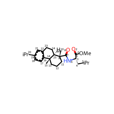 COC(=O)[C@H](CC(C)C)NC(=O)[C@]1(C)CCC[C@]2(C)c3ccc(C(C)C)cc3CC[C@@H]12